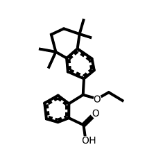 CCOC(c1ccc2c(c1)C(C)(C)CCC2(C)C)c1ccccc1C(=O)O